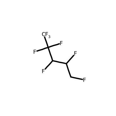 FCC(F)C(F)C(F)(F)C(F)(F)F